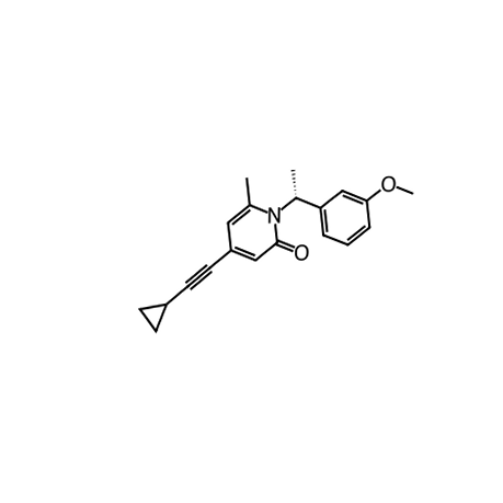 COc1cccc([C@@H](C)n2c(C)cc(C#CC3CC3)cc2=O)c1